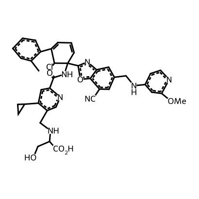 COc1cc(NCc2cc(C#N)c3oc(C4(NC(=O)c5cc(C6CC6)c(CNC(CO)C(=O)O)cn5)C=CC=C(c5ccccc5C)C4Cl)nc3c2)ccn1